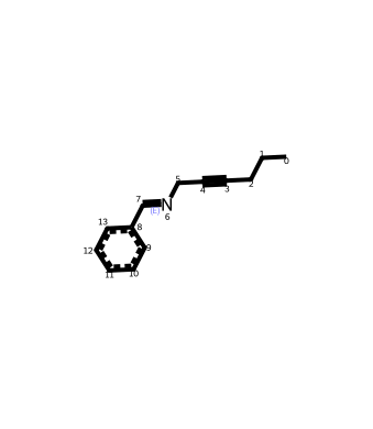 CCCC#CC/N=C/c1ccccc1